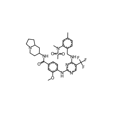 COc1cc(C(=O)NC2CCN3CCCC3C2)ccc1Nc1ncc(C(F)(F)F)c(NCc2ccc(C)cc2N(C)S(C)(=O)=O)n1